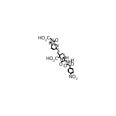 O=C(O)Cn1nc2ccc(SCC3=C(C(=O)O)N4C(=O)C(NC(=O)C(O)c5ccc([N+](=O)[O-])cc5)[C@@H]4SC3)nn2c1=O